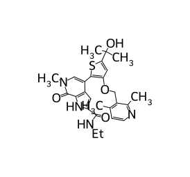 CCNC(=O)c1cc2c(-c3sc(C(C)(C)O)cc3OCc3c(C)ccnc3C)cn(C)c(=O)c2[nH]1